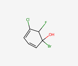 OC1(Br)C=CC=C(Cl)C1F